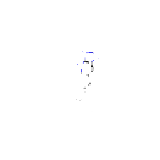 CC(C)C/C=C/c1cnc2c(c1)ncn2C